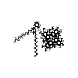 CCCCCCCCCCCCCC[NH+](CCCCCCCCCCCC)c1ccccc1C.Fc1c(F)c(F)c2c(F)c([B-](c3c(F)c(F)c4c(F)c(F)c(F)c(F)c4c3F)(c3c(F)c(F)c4c(F)c(F)c(F)c(F)c4c3F)c3c(F)c(F)c4c(F)c(F)c(F)c(F)c4c3F)c(F)c(F)c2c1F